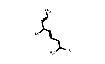 [CH2]C=CC(C)C=CCC(C)C